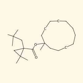 CC(C)(C)CC1(C(=O)OC2(C)CCCCCCCCCCC2)CC1(C)C